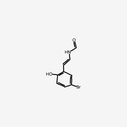 O=CNC=Cc1cc(Br)ccc1O